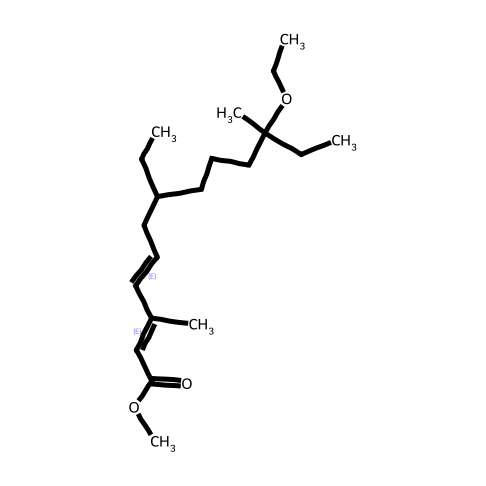 CCOC(C)(CC)CCCC(CC)C/C=C/C(C)=C/C(=O)OC